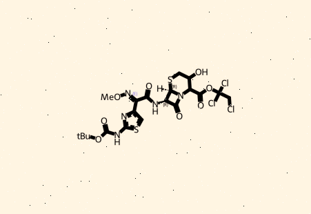 CO/N=C(/C(=O)N[C@@H]1C(=O)N2C(C(=O)OC(Cl)(Cl)CCl)C(O)CS[C@H]12)c1csc(NC(=O)OC(C)(C)C)n1